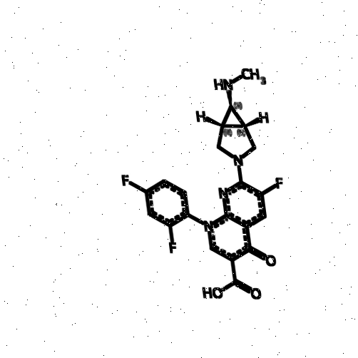 CN[C@H]1[C@@H]2CN(c3nc4c(cc3F)c(=O)c(C(=O)O)cn4-c3ccc(F)cc3F)C[C@@H]21